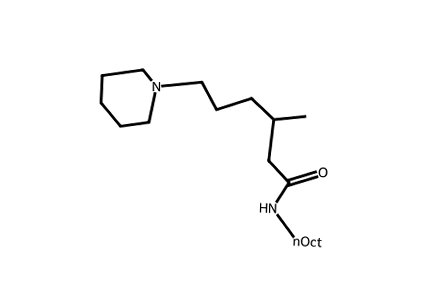 CCCCCCCCNC(=O)CC(C)CCCN1CCCCC1